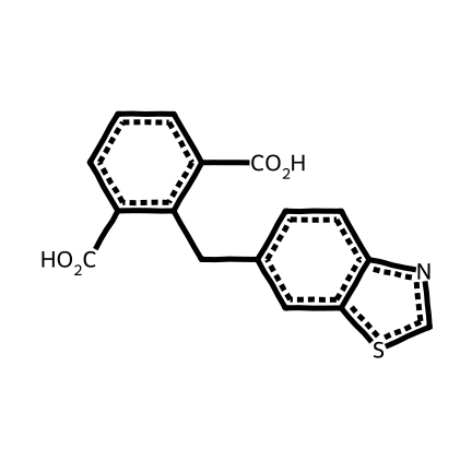 O=C(O)c1cccc(C(=O)O)c1Cc1ccc2ncsc2c1